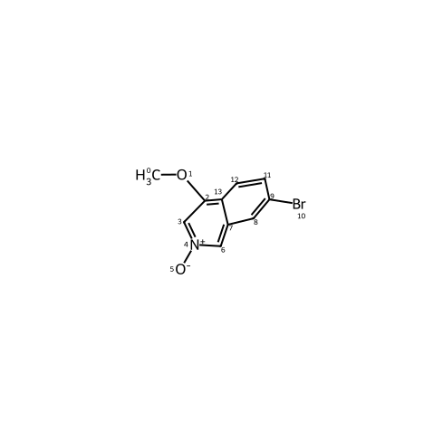 COc1c[n+]([O-])cc2cc(Br)ccc12